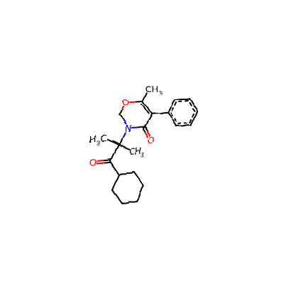 CC1=C(c2ccccc2)C(=O)N(C(C)(C)C(=O)C2CCCCC2)CO1